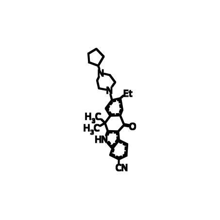 CCc1cc2c(cc1N1CCN(C3CCCC3)CC1)C(C)(C)c1[nH]c3cc(C#N)ccc3c1C2=O